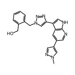 Cn1cc(-c2cnc3[nH]cc(-c4cn(Cc5ccccc5CO)nn4)c3c2)cn1